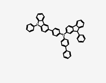 c1ccc(-c2ccc(N(c3ccc(-c4ccc5c(c4)c4ccccc4n5-c4ccccc4)cc3)c3ccc4c(c3)C(c3ccccc3)c3ccccc3-4)cc2)cc1